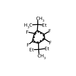 CCC(C)(C)c1c(F)c(F)c(C(C)(CC)CC)c(F)c1F